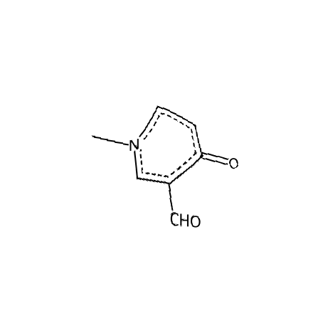 Cn1ccc(=O)c(C=O)c1